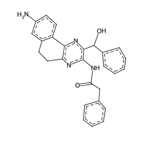 Nc1ccc2c(c1)CCc1nc(NC(=O)Cc3ccccc3)c(C(O)c3ccccc3)nc1-2